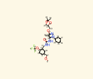 COCc1ccc(OC(F)(F)F)c(CNC(=O)Nc2c(C)c(OCC3COC(C)(C)O3)nn2-c2ccccc2)c1